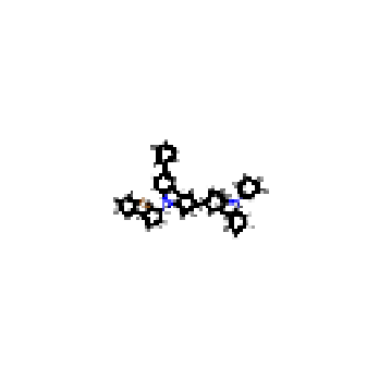 c1ccc(-c2ccc3c(c2)c2cc(-c4ccc5c(c4)c4ccccc4n5-c4ccccc4)ccc2n3-c2cccc3c2sc2ccccc23)cc1